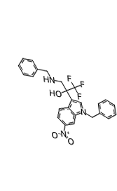 O=[N+]([O-])c1ccc2c(C(O)(CNCc3ccccc3)C(F)(F)F)cn(Cc3ccccc3)c2c1